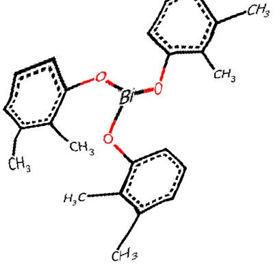 Cc1cccc([O][Bi]([O]c2cccc(C)c2C)[O]c2cccc(C)c2C)c1C